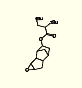 CC(C)(C)CC(C(=O)OC1CC2CC1C1C2CC2OC21)C(C)(C)C